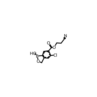 N#CCCOC(=O)c1cc2c(cc1Cl)COB2O